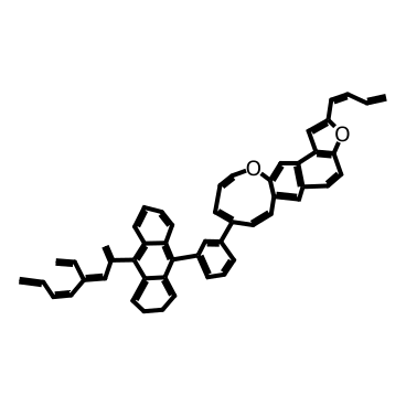 C=C/C=C\C(C=C)=C\C(=C)c1c2c(c(-c3cccc(-c4cccoc5cc6c(ccc7oc(/C=C\C=C)cc76)cc5cc4)c3)c3ccccc13)=CCCC=2